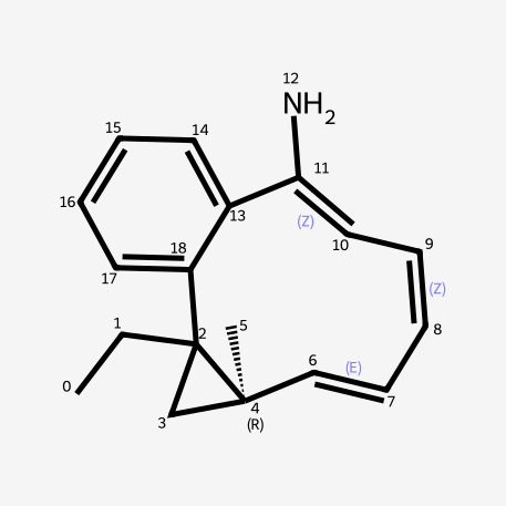 CCC12C[C@]1(C)/C=C/C=C\C=C(/N)c1ccccc12